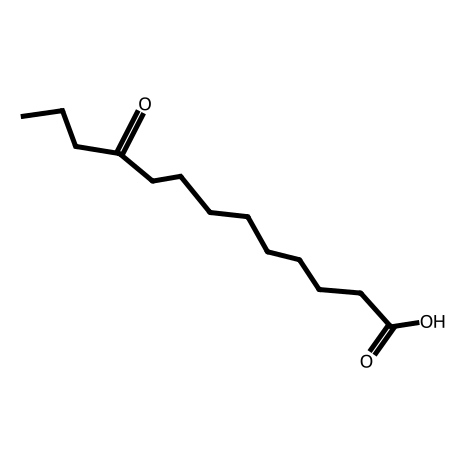 CCCC(=O)CCCCCCCCC(=O)O